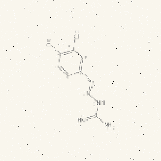 N=C(N)NN=Cc1ccc(Cl)c(Cl)c1